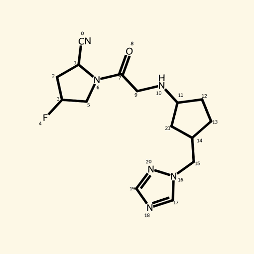 N#CC1CC(F)CN1C(=O)CNC1CCC(Cn2cncn2)C1